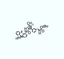 CCCN(c1ccccc1)c1cccc(NC(=O)c2cc(C)nn2-c2cccc(CNC(=O)OC(C)(C)C)c2)c1F